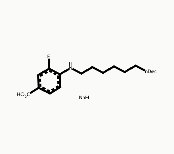 CCCCCCCCCCCCCCCCNc1ccc(C(=O)O)cc1F.[NaH]